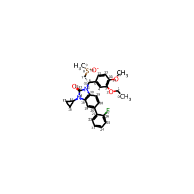 CCOc1cc([C@@H](C[S+](C)[O-])n2c(=O)n(C3CC3)c3cc(-c4ccccc4F)ccc32)ccc1OC